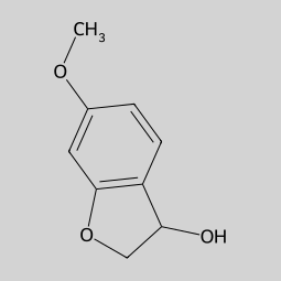 COc1ccc2c(c1)OCC2O